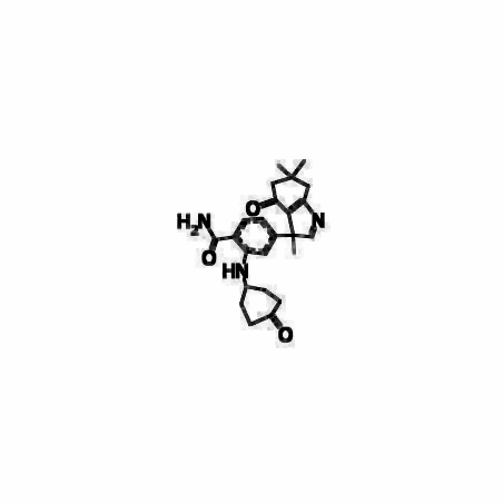 CC1(C)CC(=O)C2=C(C1)N=CC2(C)c1ccc(C(N)=O)c(NC2CCC(=O)CC2)c1